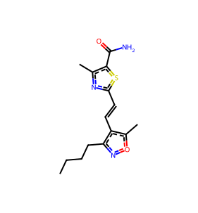 CCCCc1noc(C)c1/C=C/c1nc(C)c(C(N)=O)s1